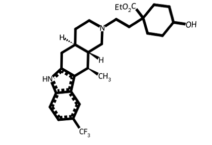 CCOC(=O)C1(CCN2CC[C@@H]3Cc4[nH]c5ccc(C(F)(F)F)cc5c4[C@H](C)[C@H]3C2)CCC(O)CC1